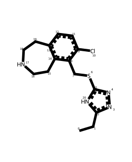 CCc1nnc(SCc2c(Cl)ccc3c2CCNCC3)[nH]1